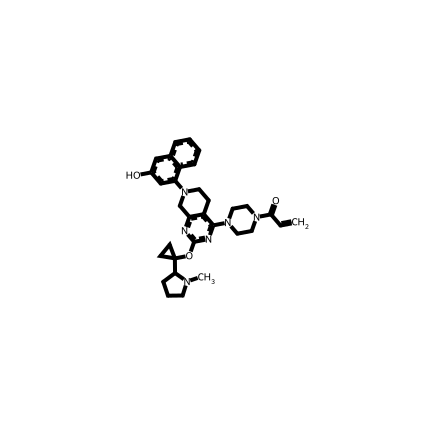 C=CC(=O)N1CCN(c2nc(OC3(C4CCCN4C)CC3)nc3c2CCN(c2cc(O)cc4ccccc24)C3)CC1